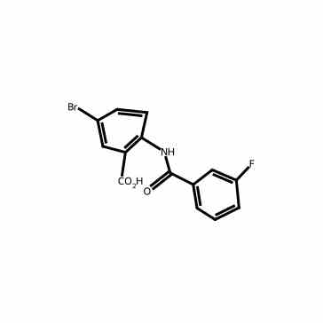 O=C(Nc1ccc(Br)cc1C(=O)O)c1cccc(F)c1